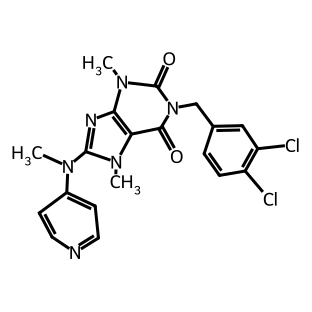 CN(c1ccncc1)c1nc2c(c(=O)n(Cc3ccc(Cl)c(Cl)c3)c(=O)n2C)n1C